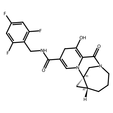 O=C(NCc1c(F)cc(F)cc1F)C1=CN2C(=C(O)C1)C(=O)N1CCC[C@@H]3C[C@]32C1